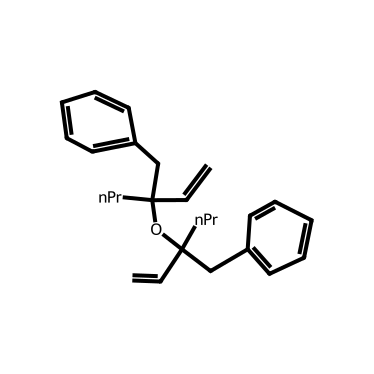 C=CC(CCC)(Cc1ccccc1)OC(C=C)(CCC)Cc1ccccc1